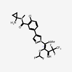 CN/C(=C(/OC(F)F)C(=N)C(F)(F)C(F)(F)F)n1cc(-c2ccc(Cl)c(C(=O)N(C)C3(N)CC3)c2)cn1